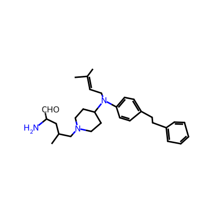 CC(C)=CCN(c1ccc(CCc2ccccc2)cc1)C1CCN(CC(C)CC(N)C=O)CC1